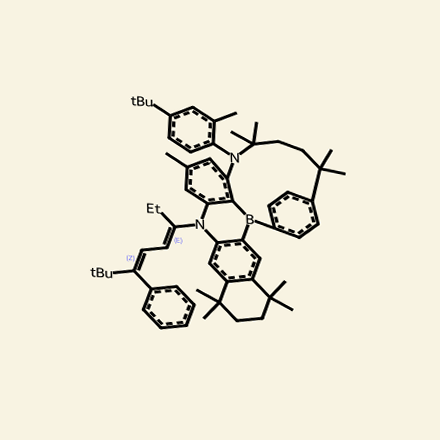 CC/C(=C\C=C(/c1ccccc1)C(C)(C)C)N1c2cc3c(cc2B2c4ccc(cc4)C(C)(C)CCC(C)(C)N(c4ccc(C(C)(C)C)cc4C)c4cc(C)cc1c42)C(C)(C)CCC3(C)C